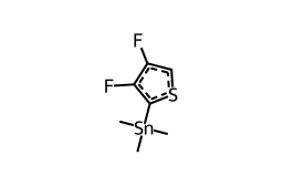 [CH3][Sn]([CH3])([CH3])[c]1scc(F)c1F